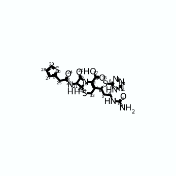 NC(=O)NCCC(Sc1nnn[nH]1)C1=C(C(=O)O)N2C(=O)C(NC(=O)Cc3cccs3)[C@@H]2SC1